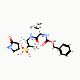 CC(=O)OC([C@H](C[C@@H]1CCNC1=O)NC(=O)[C@H](CC(C)C)NC(=O)OCc1ccccc1)S(=O)(=O)[O-].[Na+]